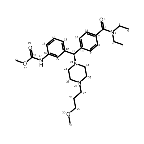 CCN(CC)C(=O)c1ccc([C@H](c2cccc(NC(=O)OC)c2)N2CCN(CCCOC)CC2)cc1